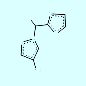 CC(c1ncco1)n1cc(N)cn1